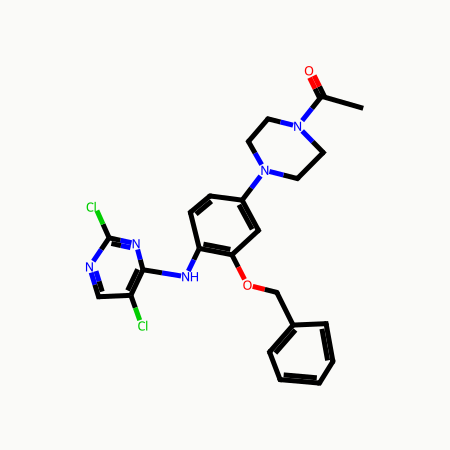 CC(=O)N1CCN(c2ccc(Nc3nc(Cl)ncc3Cl)c(OCc3ccccc3)c2)CC1